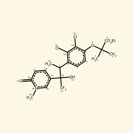 CCOC(=O)C(C)(C)Oc1ccc(C(C)C(O)(c2ccc(=O)n(C)c2)C(F)(F)F)c(Cl)c1Cl